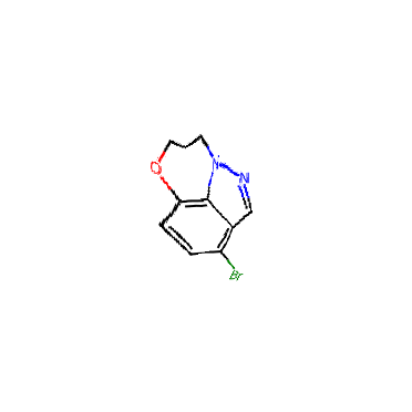 Brc1ccc2c3c1cnn3CCO2